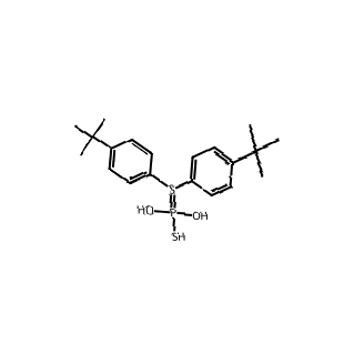 CC(C)(C)c1ccc(S(c2ccc(C(C)(C)C)cc2)=P(O)(O)S)cc1